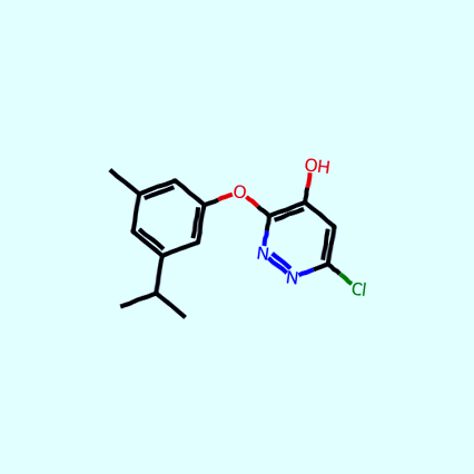 Cc1cc(Oc2nnc(Cl)cc2O)cc(C(C)C)c1